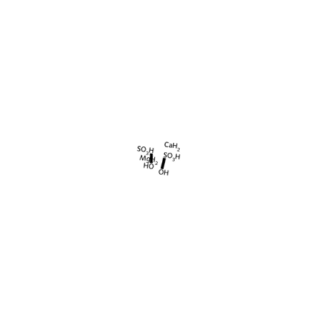 O=S(=O)(O)O.O=S(=O)(O)O.[CaH2].[MgH2]